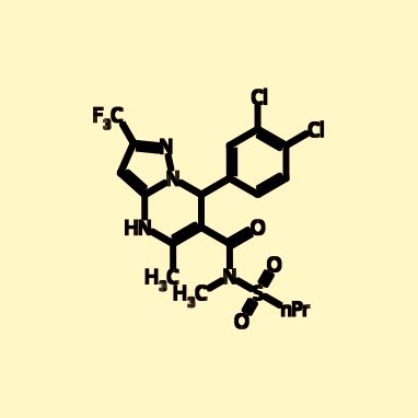 CCCS(=O)(=O)N(C)C(=O)C1=C(C)Nc2cc(C(F)(F)F)nn2C1c1ccc(Cl)c(Cl)c1